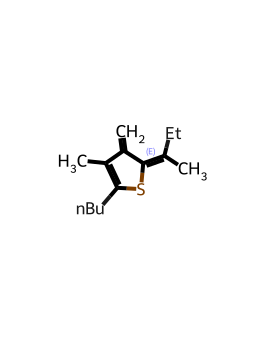 C=c1c(C)c(CCCC)s/c1=C(\C)CC